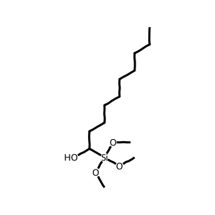 CCCCCCCCCC(O)[Si](OC)(OC)OC